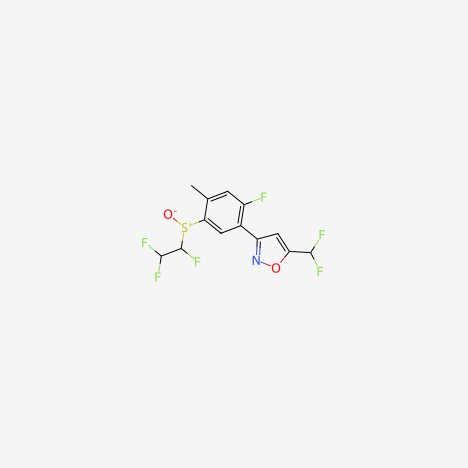 Cc1cc(F)c(-c2cc(C(F)F)on2)cc1[S+]([O-])C(F)C(F)F